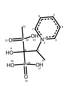 CC([n+]1ccccc1)C(O)(P(C)(=O)O)P(=O)(O)O